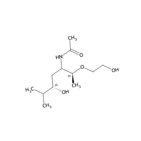 CC(=O)NC(C[C@H](O)C(C)C)[C@H](C)OCCO